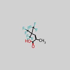 CC(=CC(C(F)(F)F)(C(F)(F)F)C(F)(F)F)C(=O)O